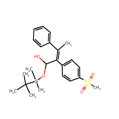 C/C(=C(\c1ccc(S(C)(=O)=O)cc1)C(O)O[Si](C)(C)C(C)(C)C)c1ccccc1